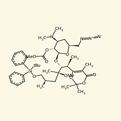 COC(=O)O[C@H]1[C@H](O[C@H]([C@@H](C)C2=C(C)C(=O)OC(C)(C)O2)[C@@](C)(C[C@@H](C)CO[Si](c2ccccc2)(c2ccccc2)C(C)(C)C)OC)O[C@H](CN=[N+]=[N-])C[C@@H]1N(C)C